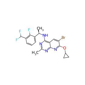 Cc1nc(N[C@H](C)c2cccc(C(F)F)c2F)c2cc(Br)c(OC3CC3)nc2n1